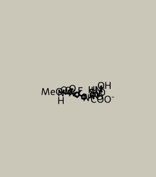 CONC(=O)Cc1cn(-c2ccc(-c3cc[n+](CC4=C(C(=O)[O-])N5C(=O)[C@@H](NC(=O)[C@H](C)O)[C@@H]5SC4)cc3)c(F)c2)c(=O)o1